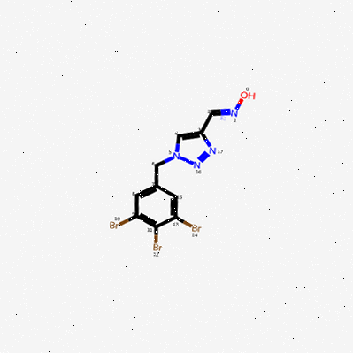 O/N=C/c1cn(Cc2cc(Br)c(Br)c(Br)c2)nn1